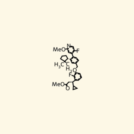 COC(=O)C[C@@H](c1cccc(OCc2ccc(-c3cc(OC)ncc3F)c([C@H]3CCCC3(C)C)c2)c1F)C1CC1